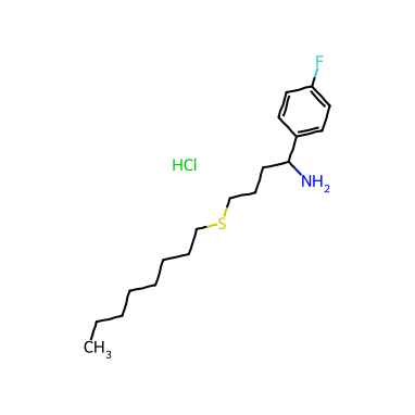 CCCCCCCCSCCCC(N)c1ccc(F)cc1.Cl